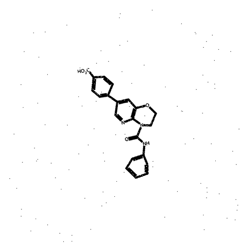 O=C(O)c1ccc(-c2cnc3c(c2)OCCN3C(=O)Nc2ccccc2)cc1